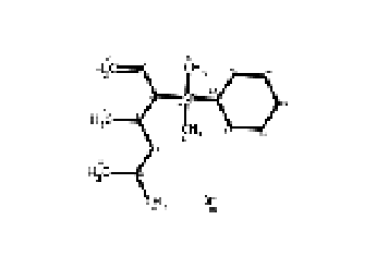 C=CC(C(C)CC(C)C)[N+](C)(C)C1CCCCC1.[Br-]